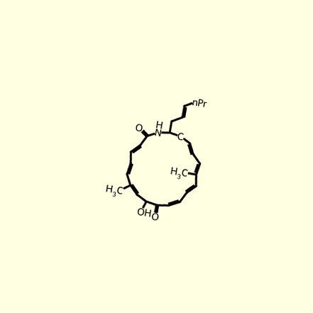 CCC/C=C/CC1C/C=C/C=C(C)/C=C/C=C\C(=O)C(O)\C=C(C)/C=C/C=C/C(=O)N1